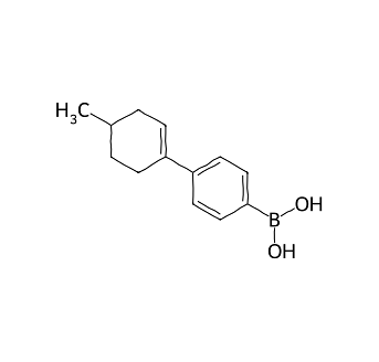 CC1CC=C(c2ccc(B(O)O)cc2)CC1